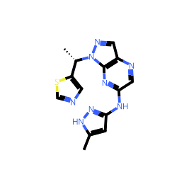 Cc1cc(Nc2cnc3cnn([C@@H](C)c4cncs4)c3n2)n[nH]1